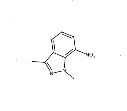 Cc1nn(C)c2c([N+](=O)[O-])cccc12